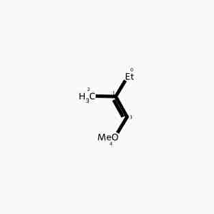 CCC(C)=COC